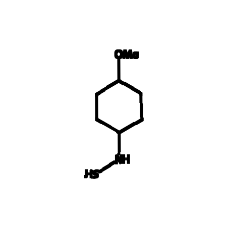 COC1CCC(NS)CC1